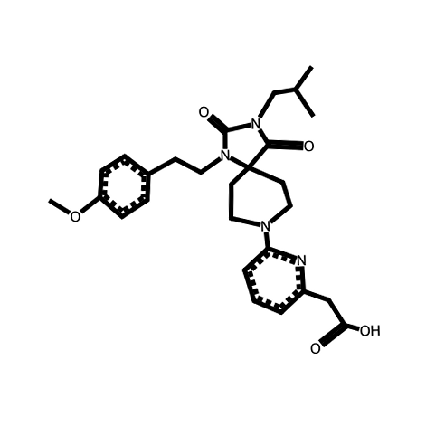 COc1ccc(CCN2C(=O)N(CC(C)C)C(=O)C23CCN(c2cccc(CC(=O)O)n2)CC3)cc1